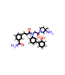 CC1(N)CCN(C(=O)CN(C(=O)/C=C/c2cccc(C(N)=O)c2)c2cccc(-c3ccccc3O)c2)C1